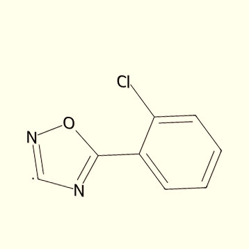 Clc1ccccc1-c1n[c]no1